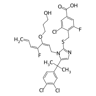 C=C/C=C(F)\C(=C/Cn1c(C(C)(C)c2ccc(Cl)c(Cl)c2)cnc1SCc1c(F)cc(C(=O)O)cc1Cl)OCCCO